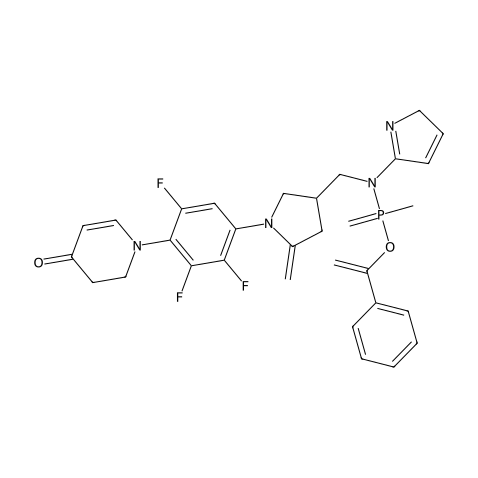 C=C(OP(=C)(C)N(CC1CC(=C)N(c2cc(F)c(N3C=CC(=O)CC3)c(F)c2F)C1)C1=NCC=C1)c1ccccc1